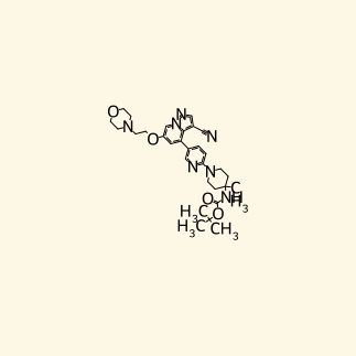 CC1(NC(=O)OC(C)(C)C)CCN(c2ccc(-c3cc(OCCN4CCOCC4)cn4ncc(C#N)c34)cn2)CC1